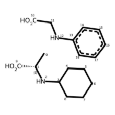 C[C@H](NC1CCCCC1)C(=O)O.O=C(O)CNc1ccccc1